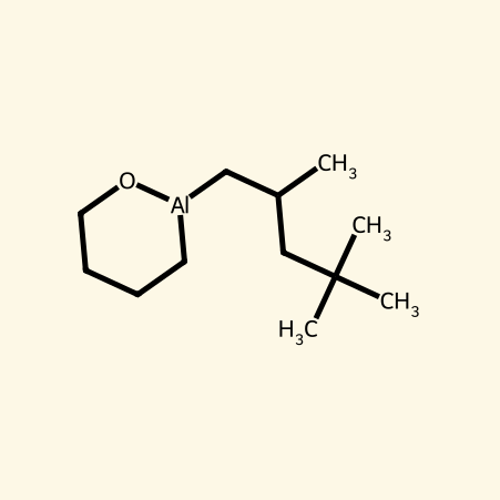 CC([CH2][Al]1[CH2]CCC[O]1)CC(C)(C)C